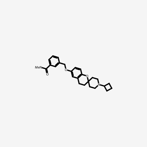 CNC(=O)c1cccc(COc2ccc3c(c2)CCC2(CCN(C4CCC4)CC2)O3)c1